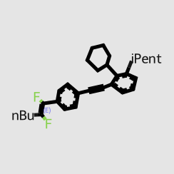 CCCC/C(F)=C(\F)c1ccc(C#Cc2cccc(C(C)CCC)c2C2CCCCC2)cc1